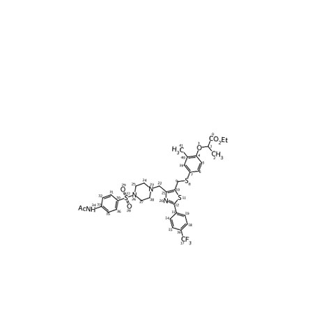 CCOC(=O)C(C)Oc1ccc(SCc2sc(-c3ccc(C(F)(F)F)cc3)nc2CN2CCN(S(=O)(=O)c3ccc(NC(C)=O)cc3)CC2)cc1C